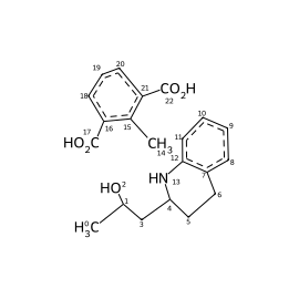 CC(O)CC1CCc2ccccc2N1.Cc1c(C(=O)O)cccc1C(=O)O